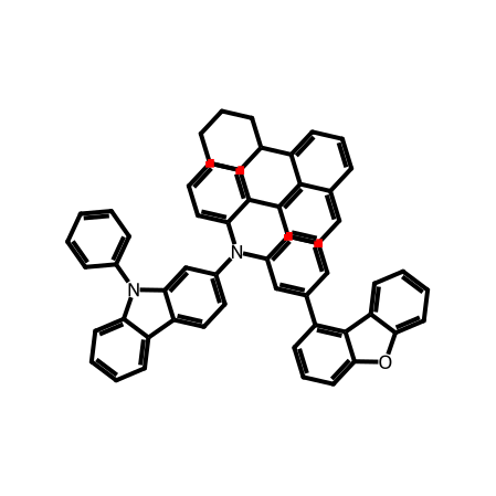 c1ccc(-n2c3ccccc3c3ccc(N(c4cccc(-c5cccc6oc7ccccc7c56)c4)c4ccccc4-c4cccc5cccc(C6CCCCC6)c45)cc32)cc1